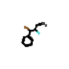 C=CC(F)C(Br)c1ccccc1